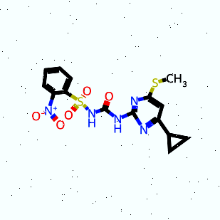 CSc1cc(C2CC2)nc(NC(=O)NS(=O)(=O)c2ccccc2[N+](=O)[O-])n1